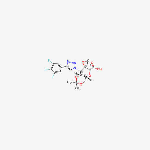 CO[C@@H]1[C@@H](n2cc(-c3cc(F)c(F)c(F)c3)nn2)[C@H]2OC(C)(C)OC[C@H]2O[C@H]1C(=O)O